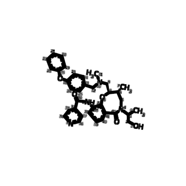 CC(CO)N1C[C@@H](C)[C@H](CN(C)Cc2ccc(Oc3ccccc3)cc2)Oc2c(NC(=O)c3ccncc3)cccc2C1=O